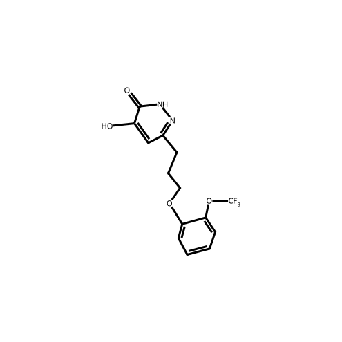 O=c1[nH]nc(CCCOc2ccccc2OC(F)(F)F)cc1O